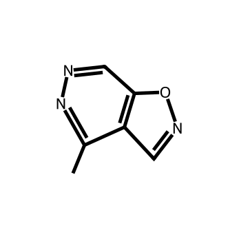 Cc1nncc2oncc12